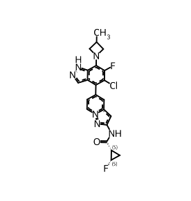 CC1CN(c2c(F)c(Cl)c(-c3ccn4nc(NC(=O)[C@@H]5C[C@@H]5F)cc4c3)c3cn[nH]c23)C1